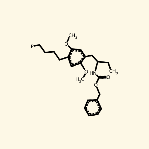 CCC(Cc1cc(OC)c(CCCCF)cc1OC)NC(=O)OCc1ccccc1